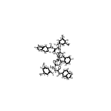 CN(C(=O)[C@H](Cc1cc(F)cc(F)c1)NC(=O)CN1c2ccccc2N(CC(=O)N[C@@H](Cc2cc(F)cc(F)c2)C(=O)N(C)c2ccc3scnc3c2)S1(=O)=O)c1ccc2scnc2c1